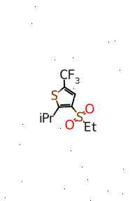 CCS(=O)(=O)c1cc(C(F)(F)F)sc1C(C)C